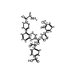 CC(N)C(=O)N1CC=C(c2cccc3c2CCN(C(=O)[C@H]2CC(c4cccc(Cl)c4F)=NO2)[C@@H]3C(=O)Nc2ccc(C(=O)O)cc2)CC1